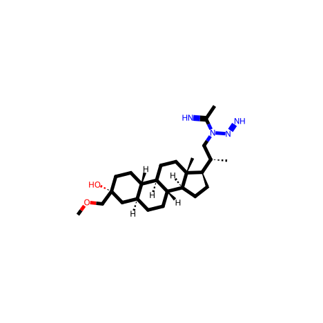 COC[C@@]1(O)CC[C@H]2[C@@H](CC[C@@H]3[C@@H]2CC[C@]2(C)[C@@H]([C@@H](C)CN(N=N)C(C)=N)CC[C@@H]32)C1